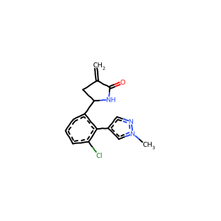 C=C1CC(c2cccc(Cl)c2-c2cnn(C)c2)NC1=O